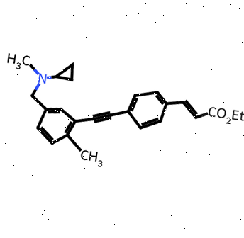 CCOC(=O)C=Cc1ccc(C#Cc2cc(CN(C)C3CC3)ccc2C)cc1